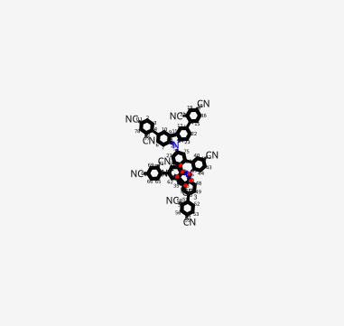 N#Cc1ccc(-c2ccc3c(c2)c2cc(-c4ccc(C#N)cc4C#N)ccc2n3-c2ccc(-c3ccc(C(F)(F)F)cc3C#N)c(-c3cc(C#N)ccc3-n3c4ccc(-c5ccc(C#N)cc5C#N)cc4c4cc(-c5ccc(C#N)cc5C#N)ccc43)c2)c(C#N)c1